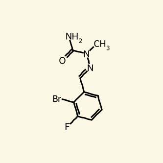 CN(N=Cc1cccc(F)c1Br)C(N)=O